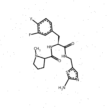 CN1CCCC1C(=O)N[C@@H](Cc1ccc(F)c(F)c1)C(=O)NCc1cnc(N)s1